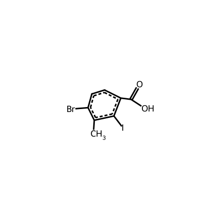 Cc1c(Br)ccc(C(=O)O)c1I